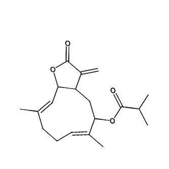 C=C1C(=O)OC2/C=C(\C)CC/C=C(\C)C(OC(=O)C(C)C)CC12